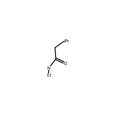 CC[N]C(=O)CC(C)C